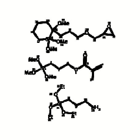 C=C(C)C(=O)OCCC[Si](OC)(OC)OC.CCO[Si](CCCN)(OCC)OCC.COC1(CCCOCC2CO2)CCCC[Si]1(OC)OC